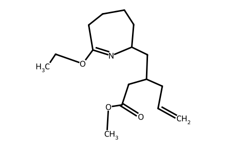 C=CCC(CC(=O)OC)CC1CCCCC(OCC)=N1